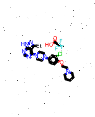 CCc1n[nH]c2ncnc(N3CCN(c4ccc(OCCN5CCCCC5)c(Cl)c4)CC3)c12.O=C(O)C(F)(F)F